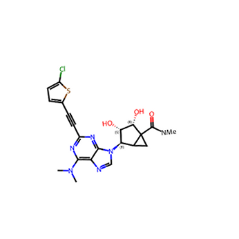 CNC(=O)C12CC1[C@@H](n1cnc3c(N(C)C)nc(C#Cc4ccc(Cl)s4)nc31)[C@H](O)[C@@H]2O